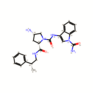 C[C@@H](CNC(=O)[C@@H]1C[C@H](N)CN1C(=O)Nc1cn(C(N)=O)c2ccccc12)c1ccccc1